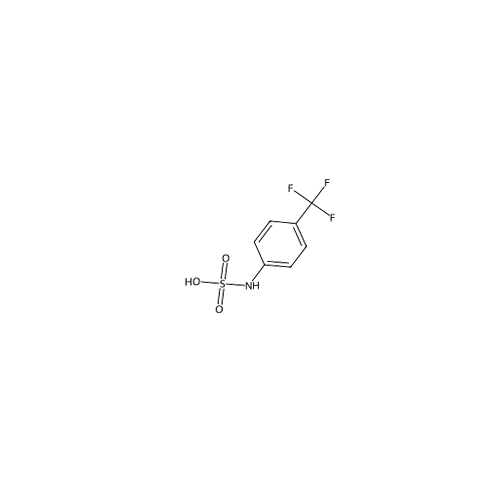 O=S(=O)(O)Nc1ccc(C(F)(F)F)cc1